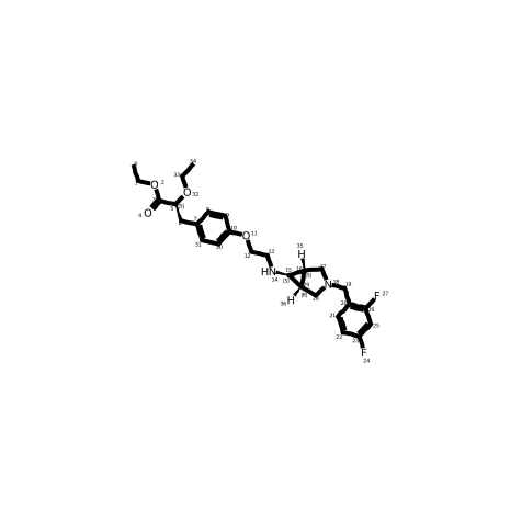 CCOC(=O)[C@H](Cc1ccc(OCCN[C@H]2[C@@H]3CN(Cc4ccc(F)cc4F)C[C@@H]32)cc1)OCC